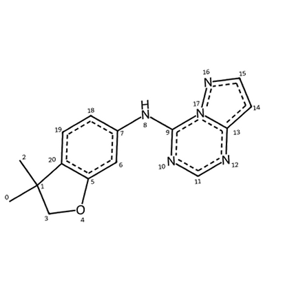 CC1(C)COc2cc(Nc3ncnc4ccnn34)ccc21